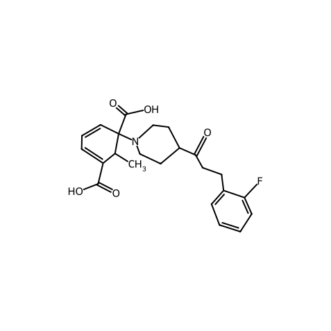 CC1C(C(=O)O)=CC=CC1(C(=O)O)N1CCC(C(=O)CCc2ccccc2F)CC1